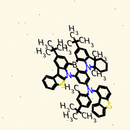 Cc1cc(C(C)(C)C)ccc1N(c1cc2c3c(c1)-n1c4sc5ccccc5c4c4cc(C(C)(C)C)cc(c41)B3c1cc(C(C)(C)C)cc3c1N2C1(C)CCCCC31C)c1cccc2sc3ccccc3c12